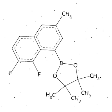 Cc1cc(B2OC(C)(C)C(C)(C)O2)c2c(F)c(F)ccc2c1